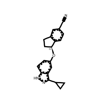 N#Cc1ccc2c(c1)CC[C@@H]2Oc1ccc2[nH]nc(C3CC3)c2c1